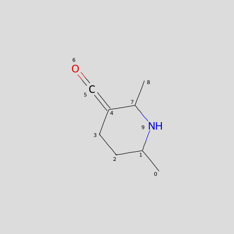 CC1CCC(=C=O)C(C)N1